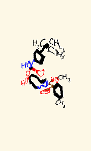 COc1ccc(C)cc1S(=O)(=O)N1CCC(O)(OC(=O)Nc2ccc(C(C)(C)C)cc2)CC1